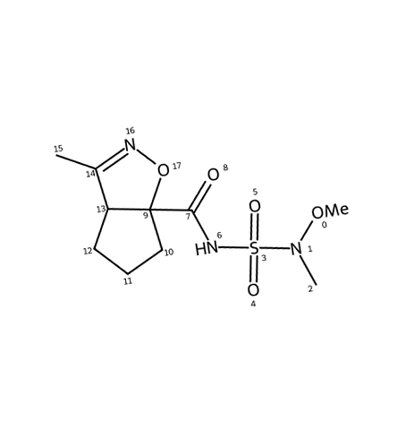 CON(C)S(=O)(=O)NC(=O)C12CCCC1C(C)=NO2